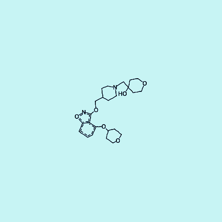 OC1(CN2CCC(COc3noc4cccc(OC5CCOCC5)c34)CC2)CCOCC1